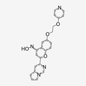 ON=c1cc(-c2cc3cccn3cn2)oc2ccc(OCCOc3ccncc3)cc12